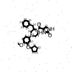 COc1ccc(N2CCN(C(=O)c3c[nH]c(=O)[nH]3)C(Cc3ccccc3)C2)cc1OC1CCCC1